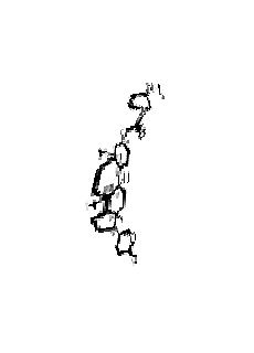 C[C@]12CC[C@H](OC(=O)N3CCC(N)C3)C[C@H]1CC[C@H]1C3=CC[C@H](c4ccc(=O)oc4)[C@@]3(C)CC[C@@H]12